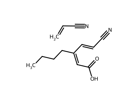 C=CC#N.CCCCC(C=CC#N)=CC(=O)O